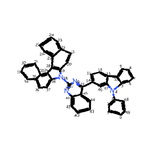 c1ccc(-n2c3ccccc3c3ccc(-c4nc(-n5c6ccc7ccccc7c6c6c7ccccc7ccc65)nc5ccccc45)cc32)cc1